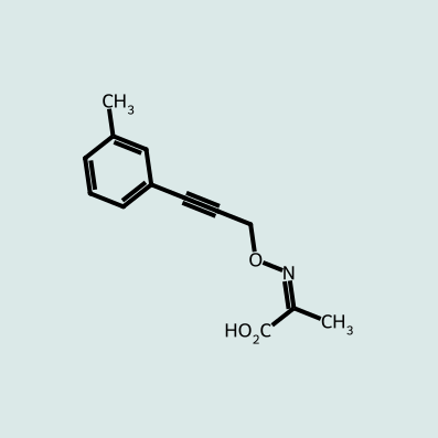 C/C(=N/OCC#Cc1cccc(C)c1)C(=O)O